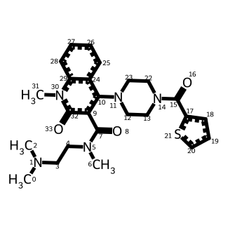 CN(C)CCN(C)C(=O)c1c(N2CCN(C(=O)c3cccs3)CC2)c2ccccc2n(C)c1=O